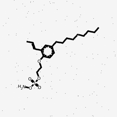 CC=Cc1cc(CCCCCCCCC)ccc1OCCOS(=O)(=O)ON